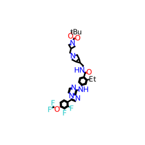 CCc1cc(Nc2nccn3c(-c4ccc(OC(F)F)c(F)c4F)cnc23)ccc1C(=O)NCC1C2CN(CC3CN(C(=O)OC(C)(C)C)C3)CC12